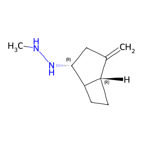 C=C1C[C@@H](NNC)C2CC[C@@H]12